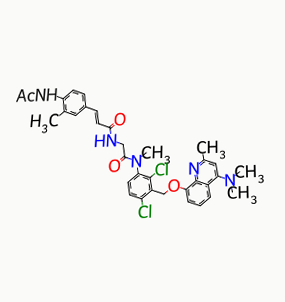 CC(=O)Nc1ccc(C=CC(=O)NCC(=O)N(C)c2ccc(Cl)c(COc3cccc4c(N(C)C)cc(C)nc34)c2Cl)cc1C